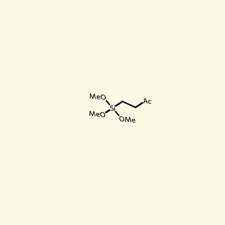 CO[Si](CCC(C)=O)(OC)OC